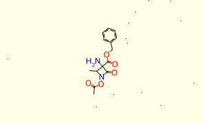 CC(=O)ON1C(=O)C(N)(C(=O)OCc2ccccc2)C1C